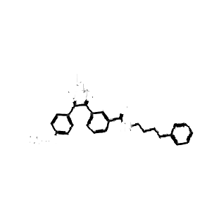 CCn1nc(-c2ccc(OC)cc2)c(-c2cccc(C(=O)NCCCCc3ccccc3)c2)n1